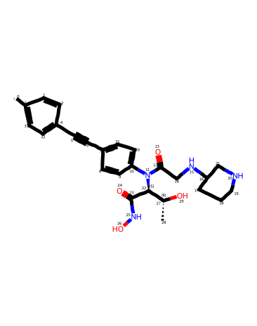 [CH]c1ccc(C#Cc2ccc(N(C(=O)CNC3CCCNC3)[C@H](C(=O)NO)[C@@H](C)O)cc2)cc1